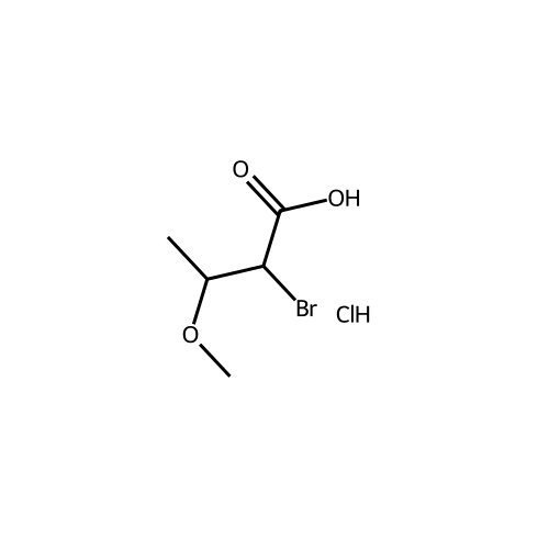 COC(C)C(Br)C(=O)O.Cl